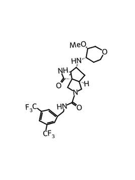 CO[C@@H]1COCC[C@@H]1N[C@@H]1C[C@H]2CN(C(=O)NCc3cc(C(F)(F)F)cc(C(F)(F)F)c3)C[C@@]2(C(N)=O)C1